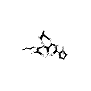 CSCC[C@H](NC(=O)[C@H](CC(C)C)NC(=O)[C@@H]1CCCN1)C(=O)O